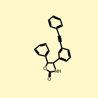 O=C1NC(c2cccc(C#Cc3ccccc3)c2)C(c2ccccc2)O1